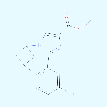 COC(=O)c1cn2c(n1)-c1cc(Br)ccc1C1CC2C1